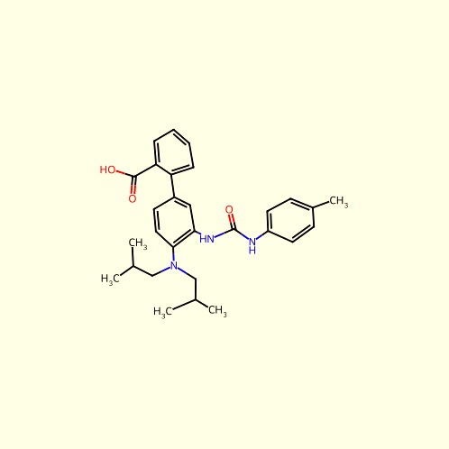 Cc1ccc(NC(=O)Nc2cc(-c3ccccc3C(=O)O)ccc2N(CC(C)C)CC(C)C)cc1